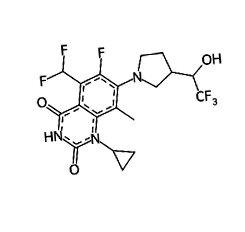 Cc1c(N2CCC(C(O)C(F)(F)F)C2)c(F)c(C(F)F)c2c(=O)[nH]c(=O)n(C3CC3)c12